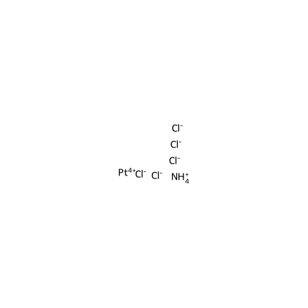 [Cl-].[Cl-].[Cl-].[Cl-].[Cl-].[NH4+].[Pt+4]